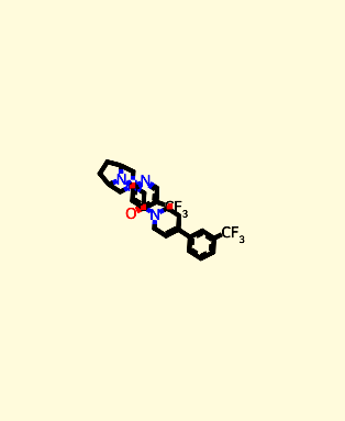 O=C(CN1CC2CCC(C1)N2c1ccc(C(F)(F)F)cn1)N1CC=C(c2cccc(C(F)(F)F)c2)CC1